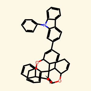 C1=CCC2OC3C=C(c4ccc5c6ccccc6n(-c6ccccc6)c5c4)C=CC3C3(C2=C1)c1c(cccc1C1C=CC=CC1)OC1C=CCCC13